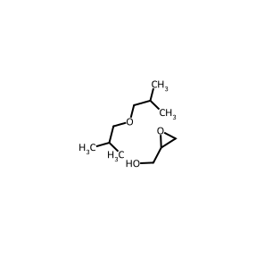 CC(C)COCC(C)C.OCC1CO1